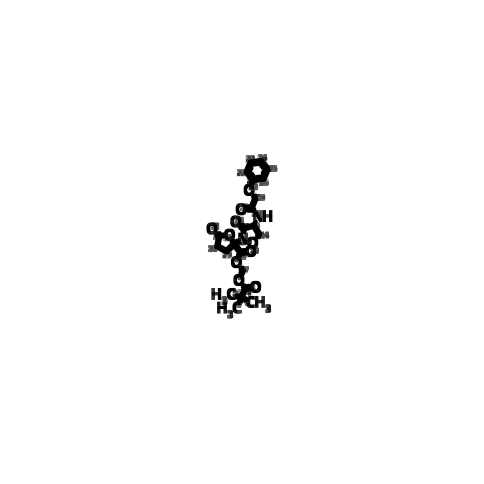 CC(C)(C)C(=O)OCOC(=O)C1(N2OC[C@H](NC(=O)COc3ccccc3)C2=O)CCC(=O)O1